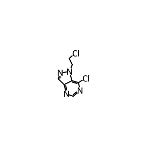 ClCCn1ncc2ncnc(Cl)c21